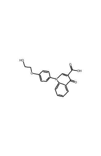 O=C(O)c1cn(-c2ccc(OCCO)cc2)c2ccccc2c1=O